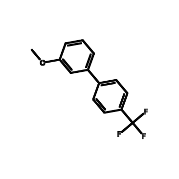 COc1cccc(-c2ccc(C(F)(F)F)cc2)c1